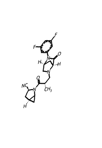 C[C@@H](CN1C[C@@H]2C[C@H]1C(=O)N2c1cc(F)cc(F)c1)C(=O)N1C2C[C@H]2C[C@H]1C#N